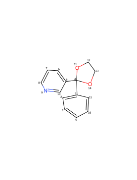 c1ccc(C2(c3cccnc3)OCCO2)cc1